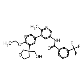 CCOc1ncc(-c2cc(NC(=O)c3cccc(C(F)(F)F)c3)cnc2C)cc1C1(CO)CCOC1